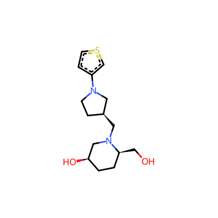 OC[C@H]1CC[C@@H](O)CN1C[C@H]1CCN(c2ccsc2)C1